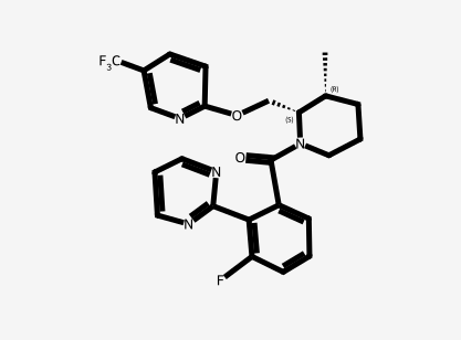 C[C@@H]1CCCN(C(=O)c2cccc(F)c2-c2ncccn2)[C@@H]1COc1ccc(C(F)(F)F)cn1